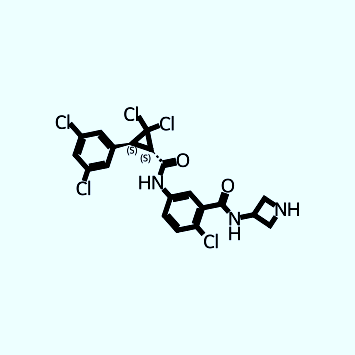 O=C(NC1CNC1)c1cc(NC(=O)[C@@H]2[C@@H](c3cc(Cl)cc(Cl)c3)C2(Cl)Cl)ccc1Cl